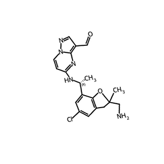 C[C@@H](Nc1ccn2ncc(C=O)c2n1)c1cc(Cl)cc2c1OC(C)(CN)C2